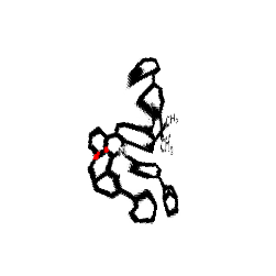 CC1(C)c2ccc(-c3ccccc3)cc2-c2cc(-c3ccccc3)c(N(c3ccc(C4CC5CCC4C5)cc3)c3cccc4ccc(C5CCCCC5)cc34)cc21